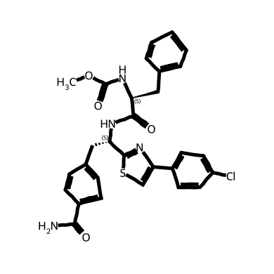 COC(=O)N[C@@H](Cc1ccccc1)C(=O)N[C@@H](Cc1ccc(C(N)=O)cc1)c1nc(-c2ccc(Cl)cc2)cs1